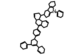 C1=CC(C2C=C(C3C=CCCC3)CC(C3=CC=C(C4=C5CCC=CC5C5C(C=CCC5C5CC=C6C(C5)C5=C(CCCC5)N6C5=CCCC=C5)C4)CC3)C2)=CCC1